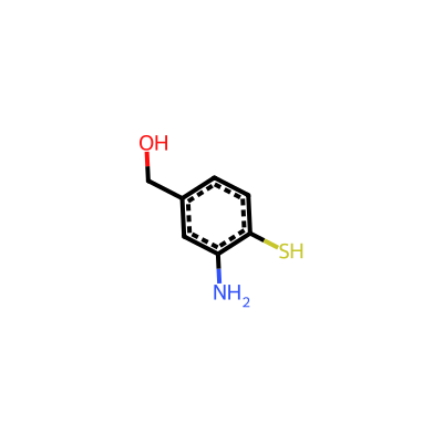 Nc1cc(CO)ccc1S